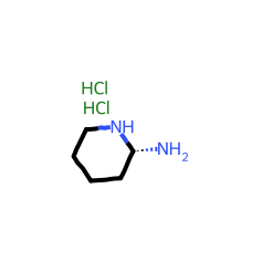 Cl.Cl.N[C@@H]1CCCCN1